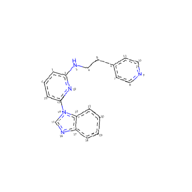 c1cc(NCCc2ccncc2)nc(-n2cnc3ccccc32)c1